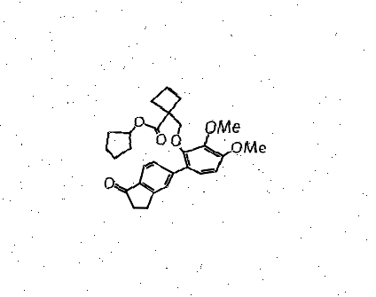 COc1ccc(-c2ccc3c(c2)CCC3=O)c(OCC2(C(=O)OC3CCCC3)CCC2)c1OC